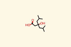 CC(C)CC(O)(CC(=O)O)CC(C)C